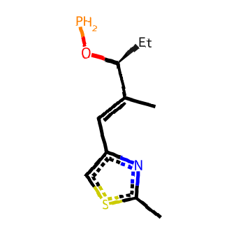 CC[C@H](OP)/C(C)=C/c1csc(C)n1